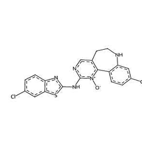 [O-][n+]1c(Nc2nc3ccc(Cl)cc3s2)ncc2c1-c1ccc(Cl)cc1NCC2